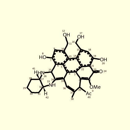 COC1=C2c3c4c5c(c(O)cc(CO)c5c5c(CO)cc(O)c(c35)C1=O)C1N[C@H]3CCCC[C@H]3NC1=C4C=C(C)C2C(C)=O